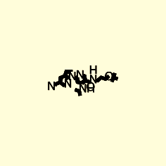 CC(C)Nc1cc(-n2ccc3cc(C#N)cnc32)ncc1C(=O)NCCCOC(C)(C)C